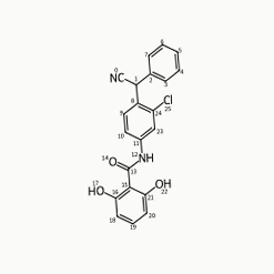 N#CC(c1ccccc1)c1ccc(NC(=O)c2c(O)cccc2O)cc1Cl